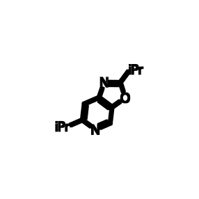 CC(C)c1cc2nc(C(C)C)oc2cn1